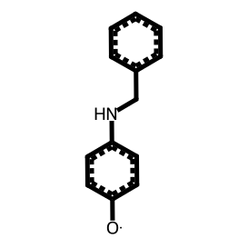 [O]c1ccc(NCc2ccccc2)cc1